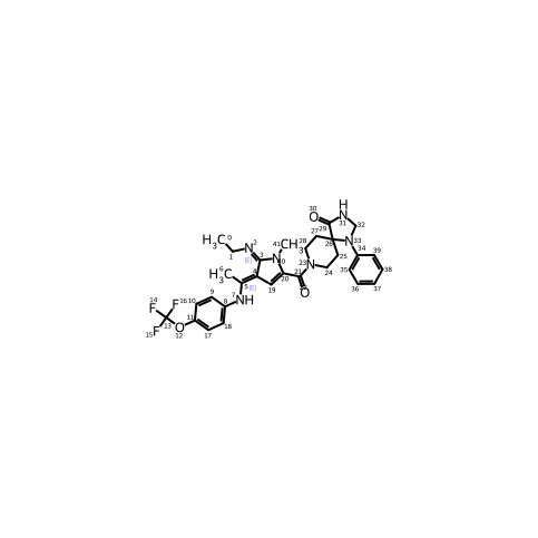 CC/N=C1\C(=C(/C)Nc2ccc(OC(F)(F)F)cc2)C=C(C(=O)N2CCC3(CC2)C(=O)NCN3c2ccccc2)N1C